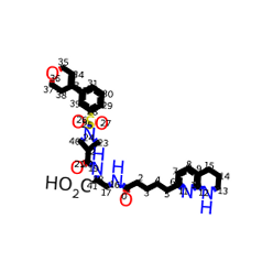 O=C(CCCCc1ccc2c(n1)NCCC2)NC[C@H](NC(=O)C1CN(S(=O)(=O)c2cccc(C3=CCOCC3)c2)C1)C(=O)O